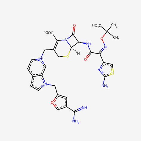 CC(C)(O/N=C(\C(=O)N[C@@H]1C(=O)N2C(C(=O)[O-])=C(C[n+]3ccc4ccn(Cc5cc(C(=N)N)co5)c4c3)CS[C@H]12)c1csc(N)n1)C(=O)O